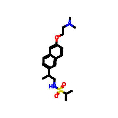 CC(CNS(=O)(=O)C(C)C)c1ccc2cc(OCCN(C)C)ccc2c1